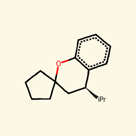 CC(C)[C@H]1CC2(CCCC2)Oc2ccccc21